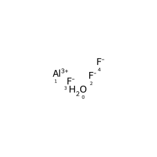 O.[Al+3].[F-].[F-].[F-]